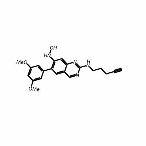 C#CCCCNc1ncc2cc(-c3cc(OC)cc(OC)c3)c(NO)cc2n1